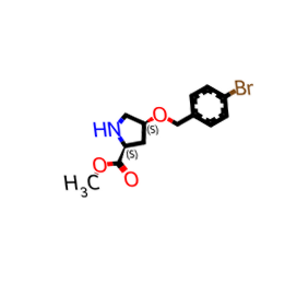 COC(=O)[C@@H]1C[C@H](OCc2ccc(Br)cc2)CN1